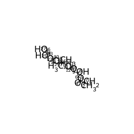 C=C(C)C(=O)OCC(O)COc1ccc(C(C)(C)c2ccc(OCC(O)CO)cc2)cc1